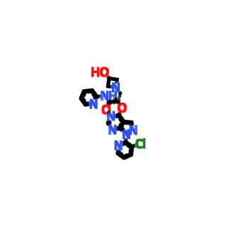 O=C(Nc1ccccn1)[C@H](CN1CC(O)C1)Oc1ncnc2c1cnn2-c1ncccc1Cl